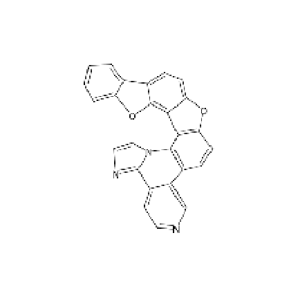 c1ccc2c(c1)oc1c2ccc2oc3ccc4c5cnccc5c5nccn5c4c3c21